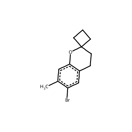 Cc1cc2c(cc1Br)CCC1(CCC1)O2